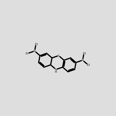 CCN(CC)C1=CC2Sc3cc(N(CC)CC)ccc3NC2C=C1